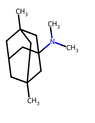 CN(C)C12CC3CC(C)(CC(C)(C3)C1)C2